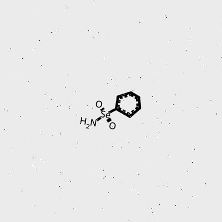 N[Se](=O)(=O)c1ccccc1